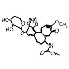 COc1c(OC2OCCC(O)C2O)cc2c(c1OC)-c1ccc(OC)c(=O)cc1C(NC(C)=O)CC2